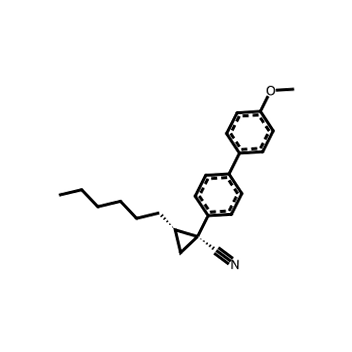 CCCCCC[C@H]1C[C@]1(C#N)c1ccc(-c2ccc(OC)cc2)cc1